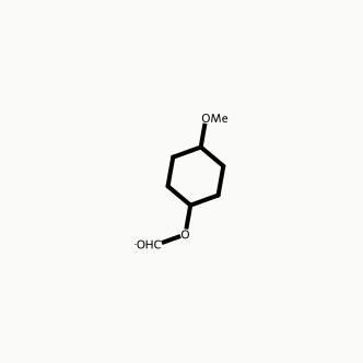 COC1CCC(O[C]=O)CC1